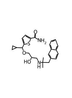 CC(C)(Cc1ccc2ccccc2c1)NC[C@@H](O)COC(c1ccc(C(N)=O)s1)C1CC1